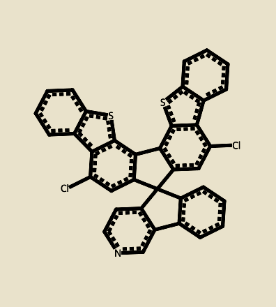 Clc1cc2c(c3sc4ccccc4c13)-c1c(cc(Cl)c3c1sc1ccccc13)C21c2ccccc2-c2cnccc21